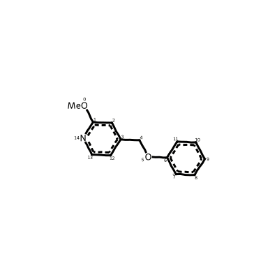 COc1cc(COc2[c]cccc2)ccn1